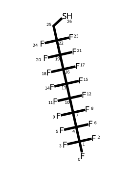 FC(F)(F)C(F)(F)C(F)(F)C(F)(F)C(F)(F)C(F)(F)C(F)(F)C(F)(F)CS